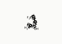 CC(C)Oc1ccc(C(=O)N[C@H](CCO)Cc2ccc(-c3cn4cccc(C(F)(F)F)c4n3)cc2)cc1N